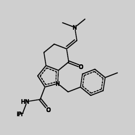 Cc1ccc(Cn2c(C(=O)NC(C)C)cc3c2C(=O)C(=CN(C)C)CC3)cc1